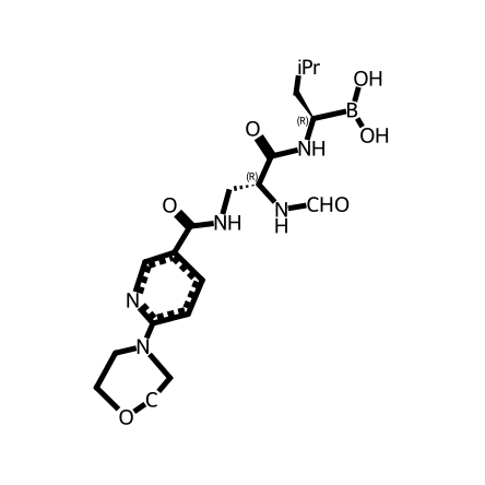 CC(C)C[C@H](NC(=O)[C@@H](CNC(=O)c1ccc(N2CCOCC2)nc1)NC=O)B(O)O